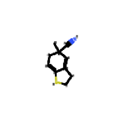 CC1(C#N)C=C2CCSC2=CC1